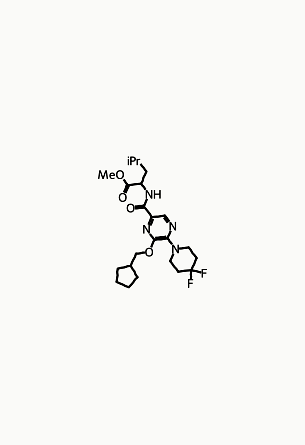 COC(=O)C(CC(C)C)NC(=O)c1cnc(N2CCC(F)(F)CC2)c(OCC2CCCC2)n1